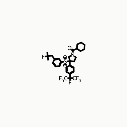 CC(C)(F)Cc1cccc(S(=O)(=O)C2(c3ccc(C(F)(C(F)(F)F)C(F)(F)F)cc3)CCN(C(=O)C3CCCCC3)C2)c1